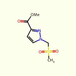 COC(=O)c1ccn(CS(C)(=O)=O)n1